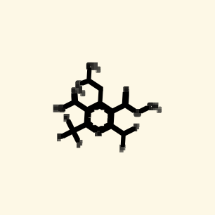 COC(=S)c1c(C(F)F)nc(C(F)(F)F)c(C(O)=S)c1CC(C)C